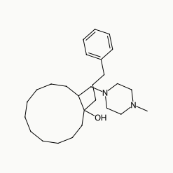 CN1CCN(CC2CCCCCCCCCCC2(O)CCCc2ccccc2)CC1